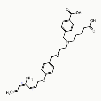 C=C/C=C(N)\C=C/COc1ccc(COCCN(CCCCC(=O)O)Cc2ccc(C(=O)O)cc2)cc1